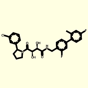 Cc1cc(F)ccc1-c1ccc(CNC(=O)[C@H](O)[C@@H](O)C(=O)N2CCCC2c2cccc(Cl)c2)c(F)c1